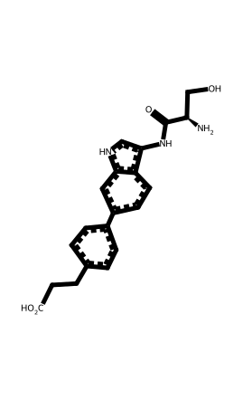 N[C@H](CO)C(=O)Nc1c[nH]c2cc(-c3ccc(CCC(=O)O)cc3)ccc12